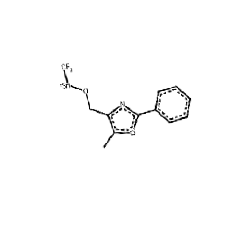 Cc1oc(-c2ccccc2)nc1C[O][Sn][C](F)(F)F